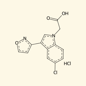 Cl.O=C(O)Cn1cc(-c2ccon2)c2cc(Cl)ccc21